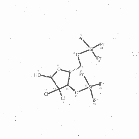 CC(C)[Si](OC[C@H]1OC(O)C(Cl)(Cl)[C@@H]1O[Si](C(C)C)(C(C)C)C(C)C)(C(C)C)C(C)C